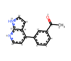 CC(=O)c1cccc(-c2ccnc3[nH]ccc23)c1